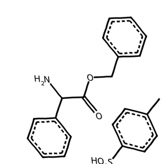 Cc1ccc(S(=O)(=O)O)cc1.NC(C(=O)OCc1ccccc1)c1ccccc1